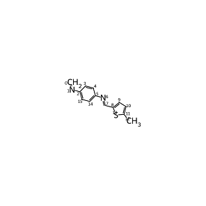 C=Nc1ccc(N=Cc2ccc(C)s2)cc1